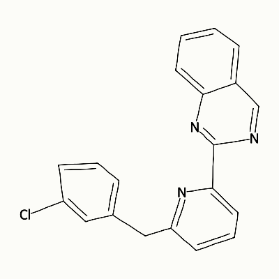 Clc1cccc(Cc2cccc(-c3ncc4ccccc4n3)n2)c1